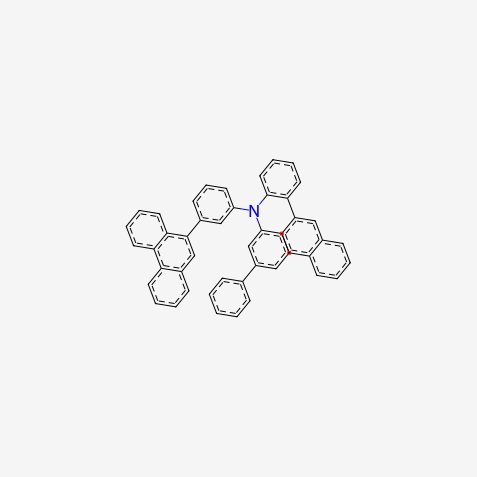 c1ccc(-c2cccc(N(c3cccc(-c4cc5ccccc5c5ccccc45)c3)c3ccccc3-c3ccc4ccccc4c3)c2)cc1